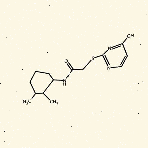 CC1CCCC(NC(=O)CSc2nccc(O)n2)C1C